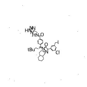 CC(C)(C)CC[C@H](c1ccc(C(=O)NCc2nn[nH]n2)cc1)N1C(=O)C(c2cc(Cl)cc(CI)c2)=NC12CCC1CCCCC1C2